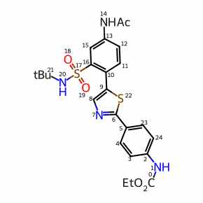 CCOC(=O)Nc1ccc(-c2ncc(-c3ccc(NC(C)=O)cc3S(=O)(=O)NC(C)(C)C)s2)cc1